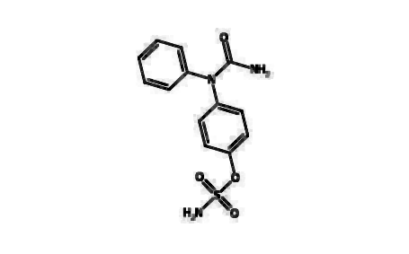 NC(=O)N(c1ccccc1)c1ccc(OS(N)(=O)=O)cc1